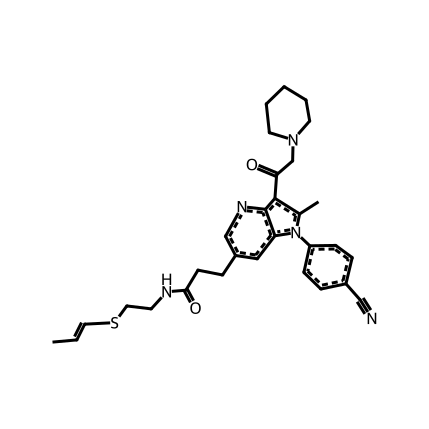 C/C=C/SCCNC(=O)CCc1cnc2c(C(=O)CN3CCCCC3)c(C)n(-c3ccc(C#N)cc3)c2c1